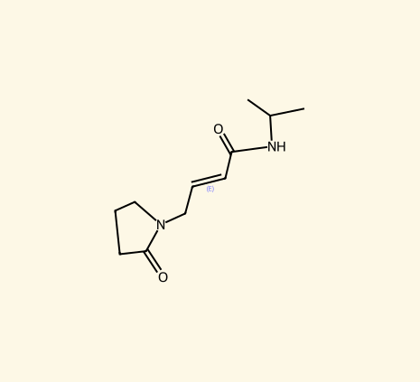 CC(C)NC(=O)/C=C/CN1CCCC1=O